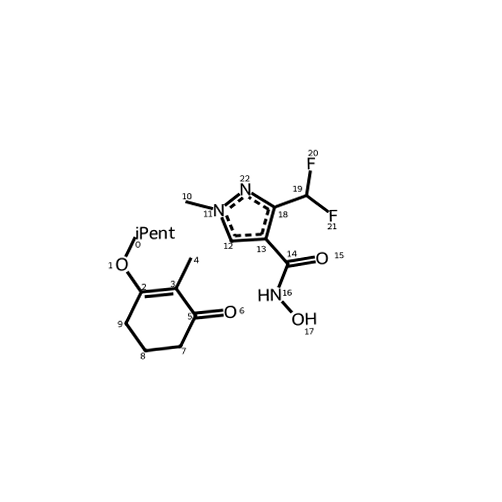 CCCC(C)OC1=C(C)C(=O)CCC1.Cn1cc(C(=O)NO)c(C(F)F)n1